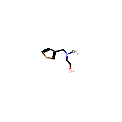 CN(CCO)Cc1ccsc1